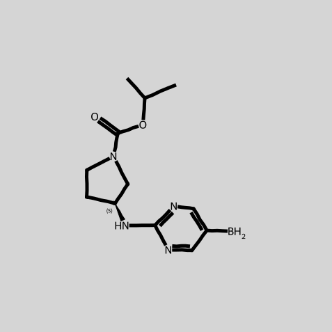 Bc1cnc(N[C@H]2CCN(C(=O)OC(C)C)C2)nc1